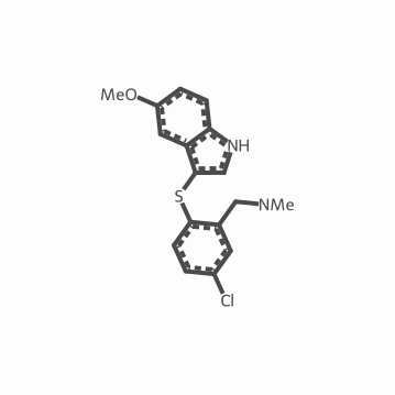 CNCc1cc(Cl)ccc1Sc1c[nH]c2ccc(OC)cc12